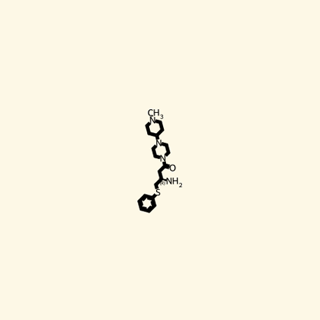 CN1CCC(N2CCN(C(=O)C[C@@H](N)CSc3ccccc3)CC2)CC1